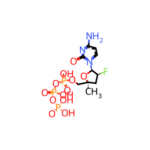 C[C@@]1(COP(=O)(O)OP(=O)(O)OP(=O)(O)O)C[C@H](F)[C@H](n2ccc(N)nc2=O)O1